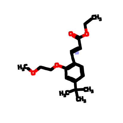 CCOC(=O)/C=C/c1ccc(C(C)(C)C)cc1OCCOC